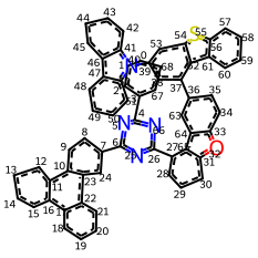 c1ccc(-c2nc(-c3ccc4c5ccccc5c5ccccc5c4c3)nc(-c3cccc4oc5ccc(-c6cc(-n7c8ccccc8c8ccccc87)cc7sc8ccccc8c67)cc5c34)n2)cc1